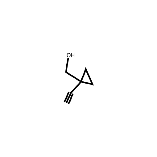 [C]#CC1(CO)CC1